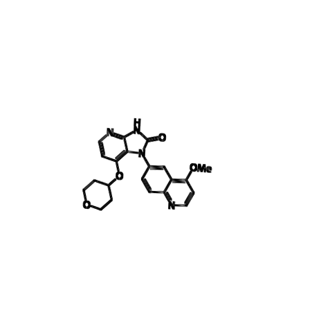 COc1ccnc2ccc(-n3c(=O)[nH]c4nccc(OC5CCOCC5)c43)cc12